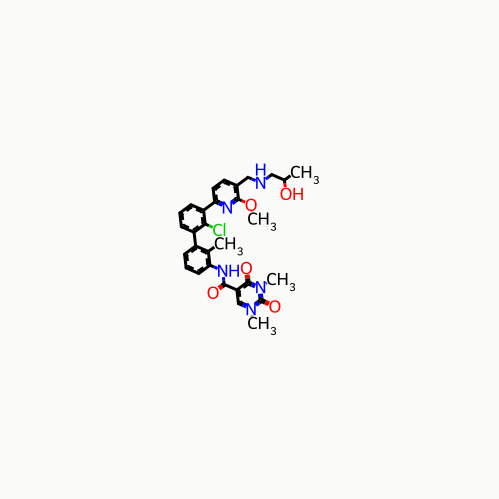 COc1nc(-c2cccc(-c3cccc(NC(=O)c4cn(C)c(=O)n(C)c4=O)c3C)c2Cl)ccc1CNCC(C)O